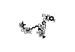 CCc1nc2ccc(F)cc2nc1O[C@@H]1C[C@@H](C(=O)N[C@]2(C(=O)NS(=O)(=O)C3CC3)C[C@H]2/C=C\CCCCC[C@@H](C=O)NC(=O)c2noc(C)c2C)N(C)C1